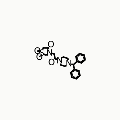 O=C(CN1CS(=O)(=O)CC1=O)N1CCN(C(c2ccccc2)c2ccccc2)CC1